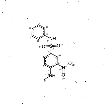 CNc1ccc(S(=O)(=O)Nc2ccccc2)cc1[N+](=O)[O-]